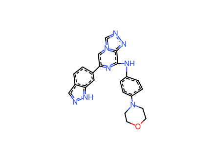 c1cc(N2CCOCC2)ccc1Nc1nc(-c2ccc3cn[nH]c3c2)cn2cnnc12